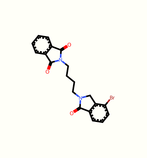 O=C1c2cccc(Br)c2CN1CCCCN1C(=O)c2ccccc2C1=O